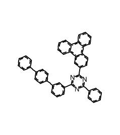 c1ccc(-c2ccc(-c3cccc(-c4nc(-c5ccccc5)nc(-c5ccc6c7ccccc7c7ccccc7c6c5)n4)c3)cc2)cc1